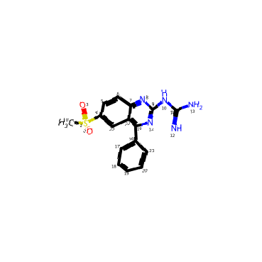 CS(=O)(=O)c1ccc2nc(NC(=N)N)nc(-c3ccccc3)c2c1